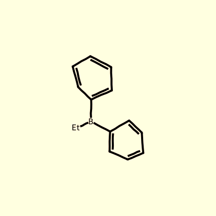 CCB(c1ccccc1)c1ccccc1